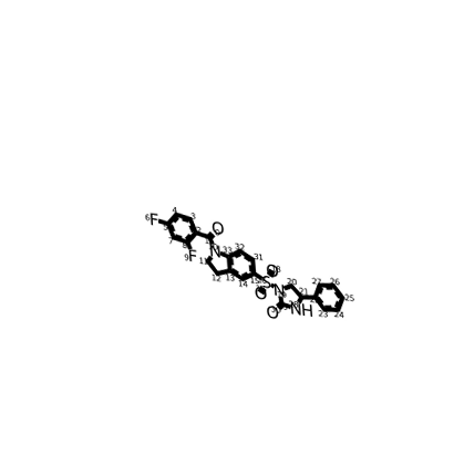 O=C(c1ccc(F)cc1F)N1CCc2cc(S(=O)(=O)N3CC(c4ccccc4)NC3=O)ccc21